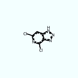 Clc1cc2[nH]nnc2c(Cl)n1